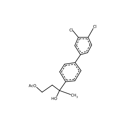 CC(=O)OCCC(C)(O)c1ccc(-c2ccc(Cl)c(Cl)c2)cc1